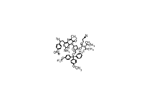 [2H]C(Cc1nc(N)nc2c1nc(C)c(=O)n2C1C[C@H](OP(OCCC#N)N(C(C)C)C(C)C)[C@@H](COC(c2ccccc2)(c2ccc(OC)cc2)c2ccc(OC)cc2)O1)c1ccc([N+](=O)[O-])cc1